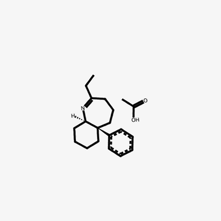 CC(=O)O.CCC1=N[C@@H]2CCCC[C@@]2(c2ccccc2)CCC1